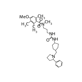 COc1cc(C)c(S(=O)(=O)N(C)CCCNC(=O)NC2CCC(CN3CCCC3c3ccccc3)CC2)c(C)c1C